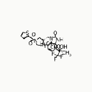 CC1(C)C(=O)NC(=O)N1C[C@H]1CN(S(=O)(=O)c2cccs2)CCN1c1ccc([C@@](C)(O)C(F)(F)F)cc1